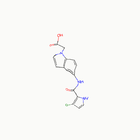 O=C(O)Cn1ccc2cc(NC(=O)c3[nH]ccc3Cl)ccc21